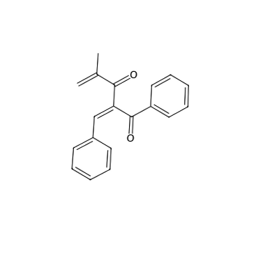 C=C(C)C(=O)C(=Cc1ccccc1)C(=O)c1ccccc1